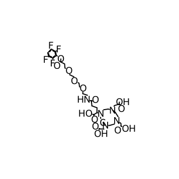 O=C(O)CN1CCN(CC(=O)O)CCN(C(CCC(=O)NCCOCCOCCOCCC(=O)Oc2c(F)c(F)cc(F)c2F)C(=O)O)CCN(CC(=O)O)CC1